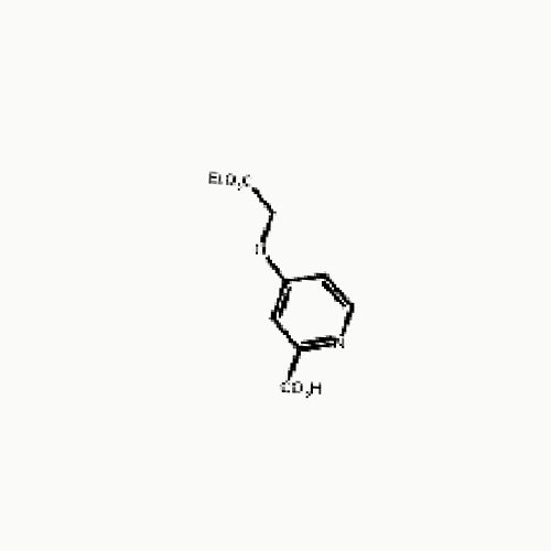 CCOC(=O)COc1ccnc(C(=O)O)c1